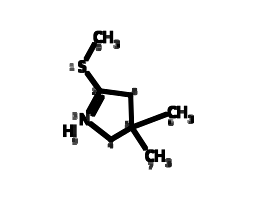 CSC1=NCC(C)(C)C1.I